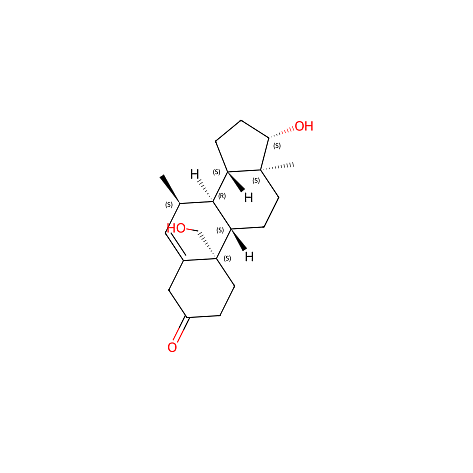 C[C@@H]1C=C2CC(=O)CC[C@]2(CO)[C@H]2CC[C@]3(C)[C@@H](O)CC[C@H]3[C@H]12